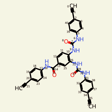 C#Cc1ccc(NC(=O)Nc2ccc(C(=O)Nc3ccc(C#C)cc3)cc2NC(=O)Nc2ccc(C#C)cc2)cc1